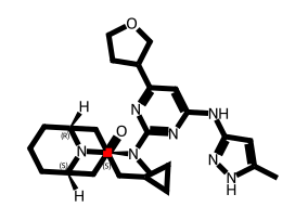 Cc1cc(Nc2cc(C3CCOC3)nc(N(C)[C@@H]3C[C@H]4CCC[C@@H](C3)N4C(=O)CC3CC3)n2)n[nH]1